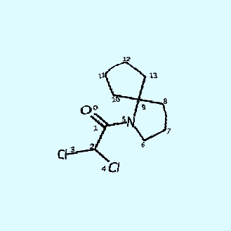 O=C(C(Cl)Cl)N1CCCC12CCCC2